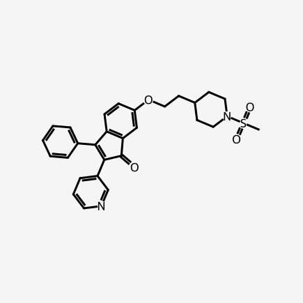 CS(=O)(=O)N1CCC(CCOc2ccc3c(c2)C(=O)C(c2cccnc2)=C3c2ccccc2)CC1